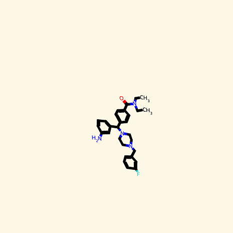 CCN(CC)C(=O)c1ccc(C(c2cccc(N)c2)N2CCN(Cc3cccc(F)c3)CC2)cc1